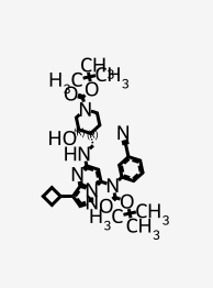 CC(C)(C)OC(=O)N1CC[C@H](CNc2cc(N(C(=O)OC(C)(C)C)c3cccc(C#N)c3)n3ncc(C4CCC4)c3n2)[C@@H](O)C1